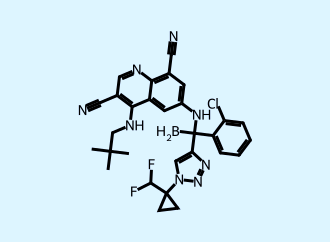 BC(Nc1cc(C#N)c2ncc(C#N)c(NCC(C)(C)C)c2c1)(c1cn(C2(C(F)F)CC2)nn1)c1ccccc1Cl